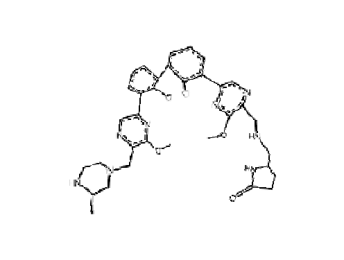 COc1nc(-c2cccc(-c3cccc(-c4cnc(CN5CCN[C@H](C)C5)c(OC)n4)c3Cl)c2Cl)cnc1CNCC1CCC(=O)N1